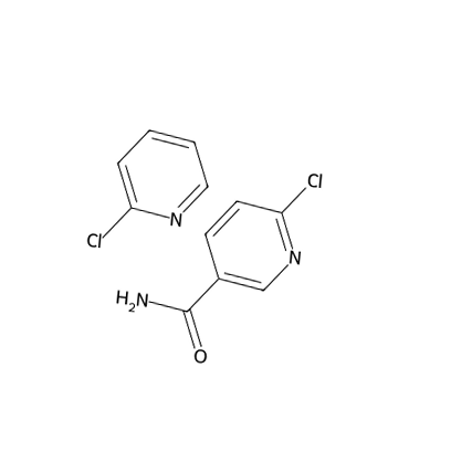 Clc1ccccn1.NC(=O)c1ccc(Cl)nc1